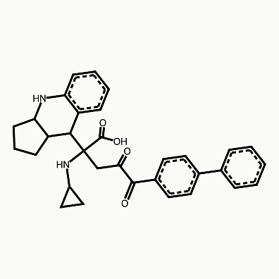 O=C(CC(NC1CC1)(C(=O)O)C1c2ccccc2NC2CCCC21)C(=O)c1ccc(-c2ccccc2)cc1